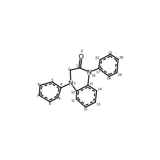 O=C1CN(c2ccccc2)c2ccccc2N1c1ccccc1